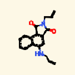 C=CCNc1cc2c(c3ccccc13)C(=O)N(CC=C)C2=O